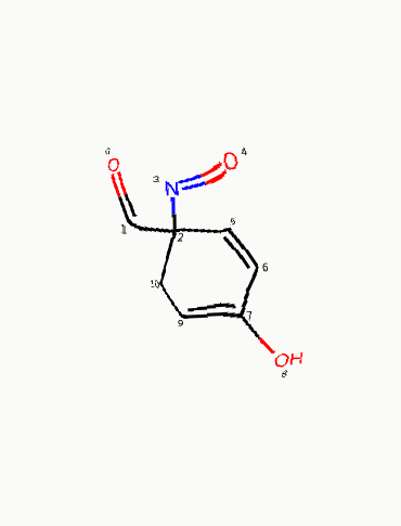 O=CC1(N=O)C=CC(O)=CC1